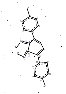 C/N=C1/C(c2ccc(C)cc2)=CC=C(c2ccc(C)cc2)/C1=N/C